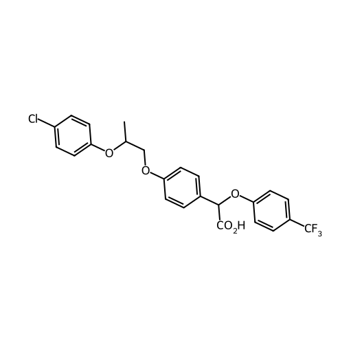 CC(COc1ccc(C(Oc2ccc(C(F)(F)F)cc2)C(=O)O)cc1)Oc1ccc(Cl)cc1